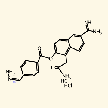 Cl.Cl.N=C(N)c1ccc2c(CC(N)=O)c(OC(=O)c3ccc(/C=N\N)cc3)ccc2c1